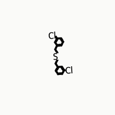 Clc1cccc(CCSCCc2cccc(Cl)c2)c1